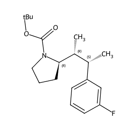 C[C@H]([C@H](C)c1cccc(F)c1)[C@H]1CCCN1C(=O)OC(C)(C)C